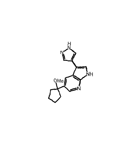 COC1(c2cnc3[nH]cc(-c4cn[nH]c4)c3c2)CCCC1